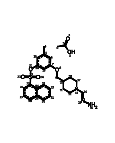 CC(=O)O.Cc1cc(OCC2CCN(C=NN)CC2)cc(OS(=O)(=O)c2cccc3ccccc23)c1